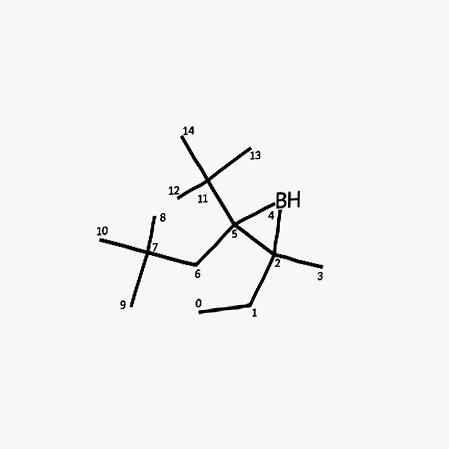 CCC1(C)BC1(CC(C)(C)C)C(C)(C)C